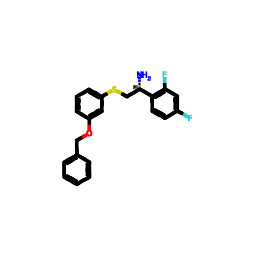 N[C@@H](CSc1cccc(OCc2ccccc2)c1)c1ccc(F)cc1F